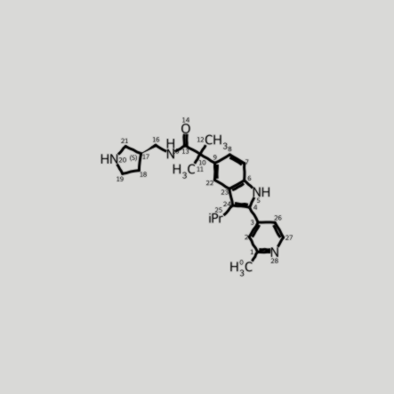 Cc1cc(-c2[nH]c3ccc(C(C)(C)C(=O)NC[C@H]4CCNC4)cc3c2C(C)C)ccn1